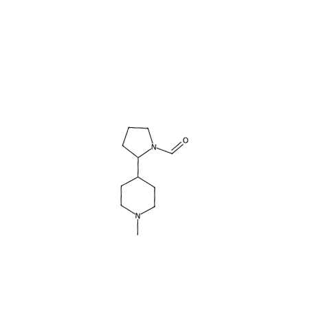 CN1CCC(C2CCCN2C=O)CC1